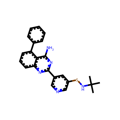 CC(C)(C)NSc1cncc(-c2nc(N)c3c(-c4ccccc4)cccc3n2)c1